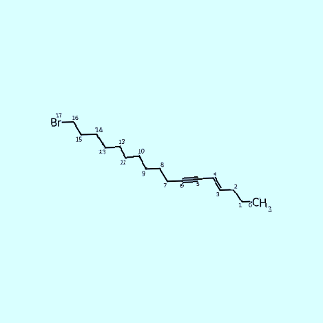 CCCC=CC#CCCCCCCCCCCBr